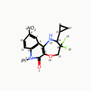 CC(C)n1c(=O)c2c(c3cc([N+](=O)[O-])ccc31)NC(C1CC1)C(F)(F)CO2